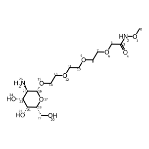 CONC(=O)COCCOCCOCCO[C@@H]1O[C@H](CO)[C@H](O)[C@H](O)[C@H]1N